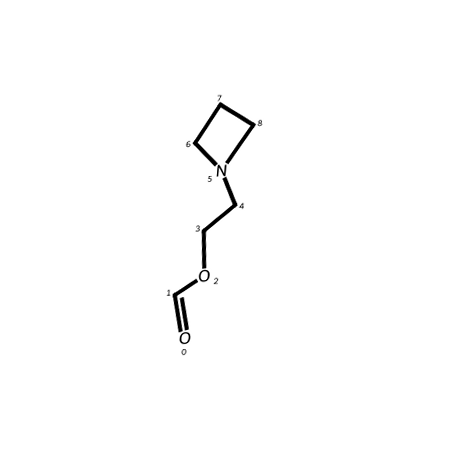 O=COCCN1CCC1